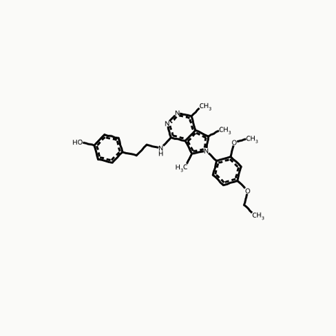 CCOc1ccc(-n2c(C)c3c(C)nnc(NCCc4ccc(O)cc4)c3c2C)c(OC)c1